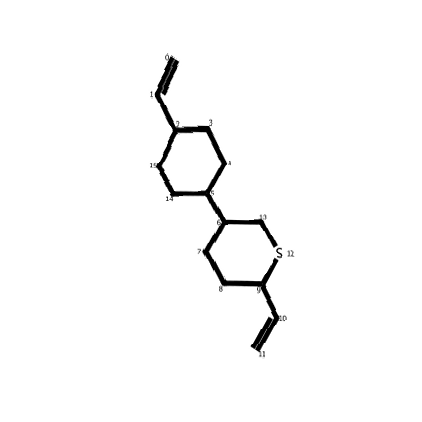 C=CC1CCC(C2CCC(C=C)SC2)CC1